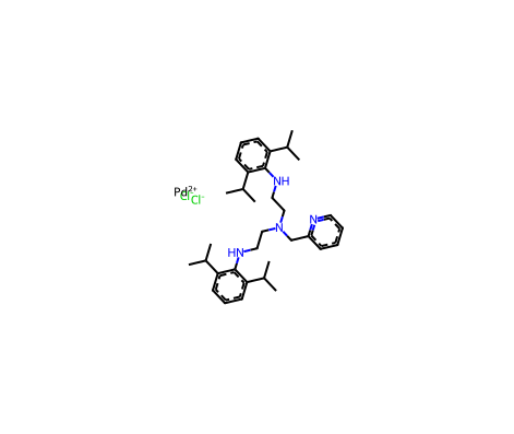 CC(C)c1cccc(C(C)C)c1NCCN(CCNc1c(C(C)C)cccc1C(C)C)Cc1ccccn1.[Cl-].[Cl-].[Pd+2]